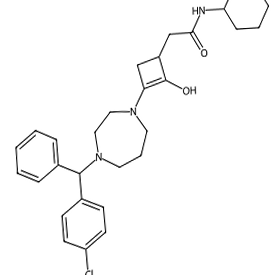 O=C(CC1CC(N2CCCN(C(c3ccccc3)c3ccc(Cl)cc3)CC2)=C1O)NC1CCCCC1